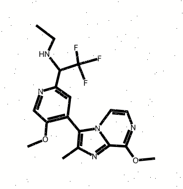 CCNC(c1cc(-c2c(C)nc3c(OC)nccn23)c(OC)cn1)C(F)(F)F